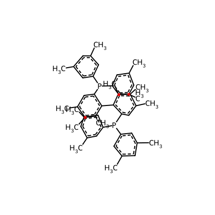 Cc1cc(C)cc(P(c2cc(C)cc(C)c2)c2cc(C)c(C)c(C)c2-c2c(P(c3cc(C)cc(C)c3)c3cc(C)cc(C)c3)cc(C)c(C)c2C)c1